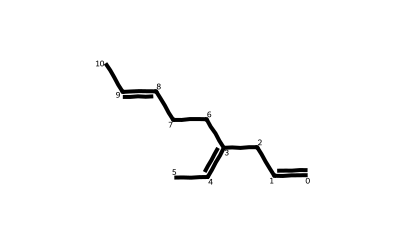 C=CCC(=CC)CCC=CC